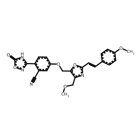 COCc1nc(/C=C/c2ccc(OC)cc2)oc1COc1ccc(-c2noc(=O)[nH]2)c(C#N)c1